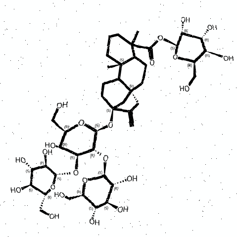 C=C1C[C@@]23CCC4C(C)(C(=O)O[C@@H]5O[C@H](CO)[C@H](O)[C@@H](O)[C@H]5O)CCC[C@@]4(C)C2CC[C@]1(O[C@@H]1O[C@H](CO)[C@@H](O)[C@H](O[C@@H]2O[C@H](CO)[C@@H](O)[C@H](O)[C@H]2O)[C@H]1O[C@@H]1O[C@H](CO)[C@@H](O)[C@H](O)[C@H]1O)C3